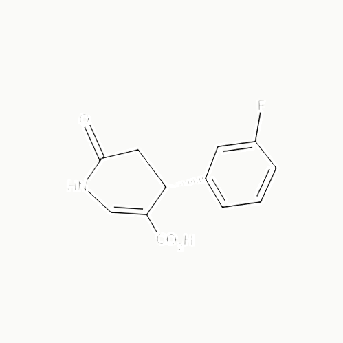 O=C1C[C@H](c2cccc(F)c2)C(C(=O)O)=CN1